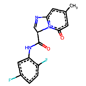 Cc1cc2n(c(=O)c1)C(C(=O)Nc1cc(F)ccc1F)C=N2